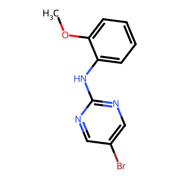 COc1ccccc1Nc1ncc(Br)cn1